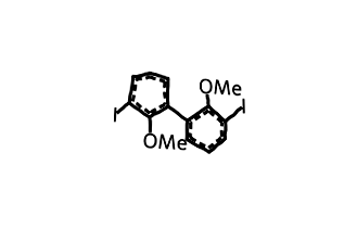 COc1c(I)cccc1-c1cccc(I)c1OC